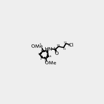 COc1ccc(OC)c(NC(=O)CCCCl)c1